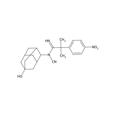 CC(C)(C(=N)N(C#N)C1C2CC3CC1CC(O)(C3)C2)c1ccc([N+](=O)[O-])cc1